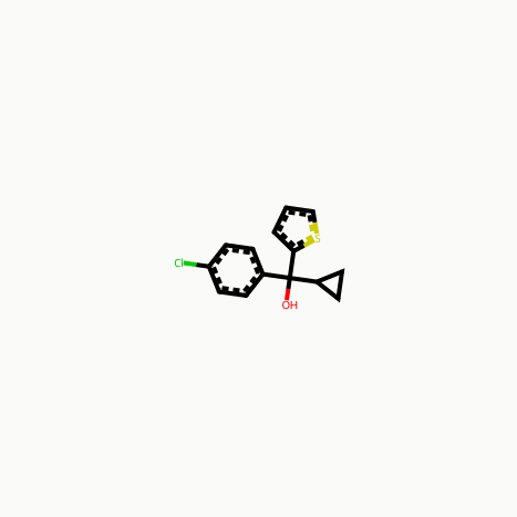 OC(c1ccc(Cl)cc1)(c1cccs1)C1CC1